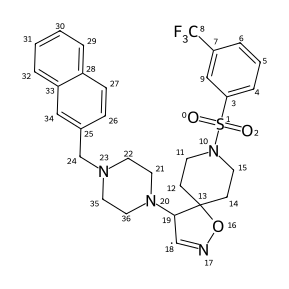 O=S(=O)(c1cccc(C(F)(F)F)c1)N1CCC2(CC1)ON=[C]C2N1CCN(Cc2ccc3ccccc3c2)CC1